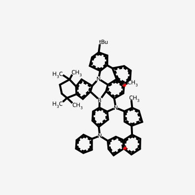 Cc1cc2c3c(c1)N(c1ccc(C(C)(C)C)cc1-c1ccccc1)c1cc4c(cc1B3c1ccc(N(c3ccccc3)c3ccccc3)cc1N2c1cc(-c2ccccc2)ccc1C)C(C)(C)CCC4(C)C